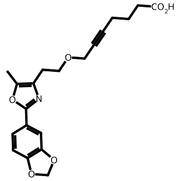 Cc1oc(-c2ccc3c(c2)OCO3)nc1CCOCC#CCCCC(=O)O